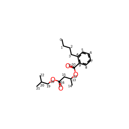 CCCCc1ccccc1C(=O)OC(C)CC(=O)OCC(C)C